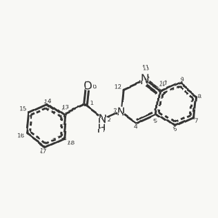 O=C(NN1C=c2ccccc2=NC1)c1ccccc1